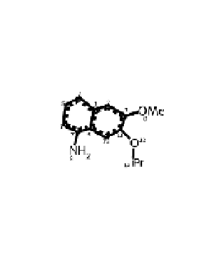 COc1cc2cccc(N)c2cc1OC(C)C